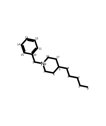 CCCCCC1CCN(Cc2ccccc2)CC1